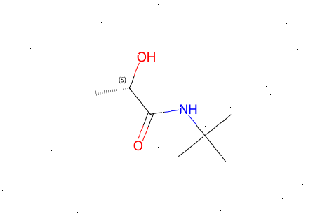 C[C@H](O)C(=O)NC(C)(C)C